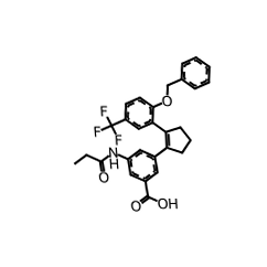 CCC(=O)Nc1cc(C(=O)O)cc(C2=C(c3cc(C(F)(F)F)ccc3OCc3ccccc3)CCC2)c1